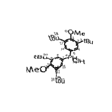 COc1c(C(C)(C)C)cc(Pc2cc(C(C)(C)C)c(OC)c(C(C)(C)C)c2)cc1C(C)(C)C.Cl